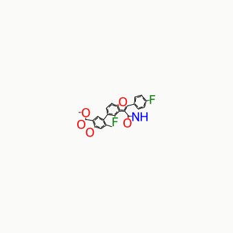 CNC(=O)c1c(-c2ccc(F)cc2)oc2ccc(-c3cc(C(=O)OC)c(OC)cc3C)c(F)c12